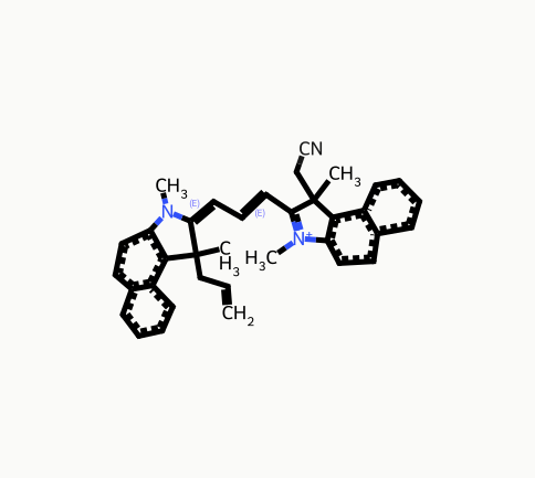 C=CCC1(C)/C(=C\C=C\C2=[N+](C)c3ccc4ccccc4c3C2(C)CC#N)N(C)c2ccc3ccccc3c21